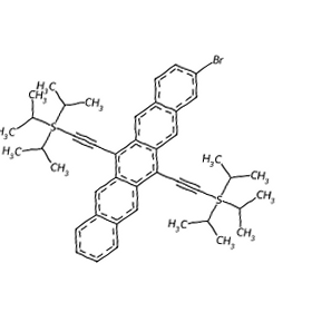 CC(C)S(C#Cc1c2cc3ccccc3cc2c(C#CS(C(C)C)(C(C)C)C(C)C)c2cc3cc(Br)ccc3cc12)(C(C)C)C(C)C